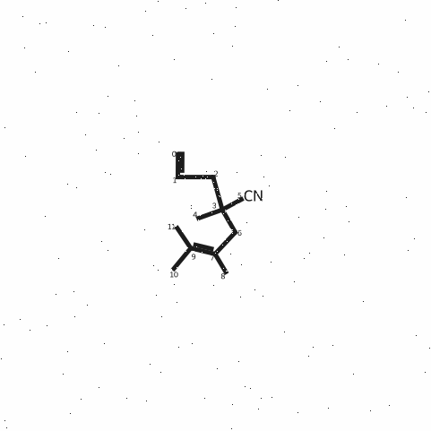 C=CCC(C)(C#N)CC(C)=C(C)C